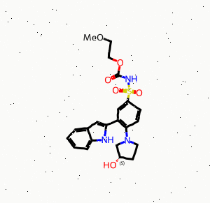 COCCOC(=O)NS(=O)(=O)c1ccc(N2CC[C@H](O)C2)c(-c2cc3ccccc3[nH]2)c1